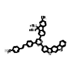 CCCCCCCCC1(CCCCCCCC)c2cc(C)ccc2-c2ccc(-c3cc(-c4ccc(/C=C/c5ccc(C)cc5)cc4)nc(-c4ccc5sc6cc7oc8ccccc8c7cc6c5c4)n3)cc21